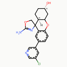 NC1=NC2(CO1)c1cc(-c3cncc(Cl)c3)ccc1OC1C[C@@H](O)CC[C@@H]12